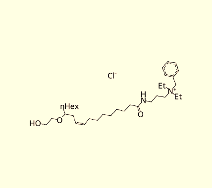 CCCCCCC(C/C=C\CCCCCCCC(=O)NCCC[N+](CC)(CC)Cc1ccccc1)OCCO.[Cl-]